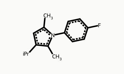 Cc1cc(C(C)C)c(C)n1-c1ccc(F)cc1